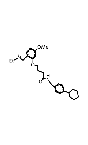 CCN(I)Cc1ccc(OC)cc1OCCCC(=O)NCc1ccc(C2CCCCC2)cc1